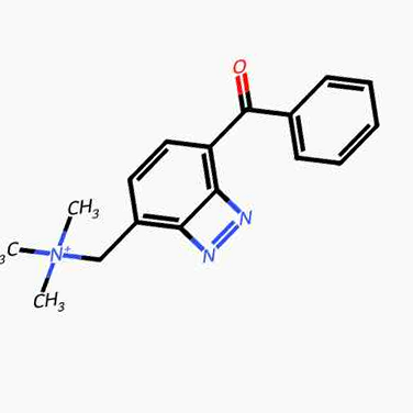 C[N+](C)(C)Cc1ccc(C(=O)c2ccccc2)c2c1N=N2